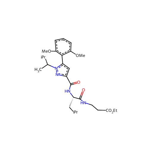 CCOC(=O)CCNC(=O)[C@H](CC(C)C)NC(=O)c1cc(-c2c(OC)cccc2OC)n(C(C)C(C)C)n1